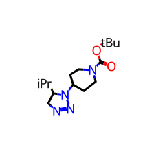 CC(C)C1CN=NN1C1CCN(C(=O)OC(C)(C)C)CC1